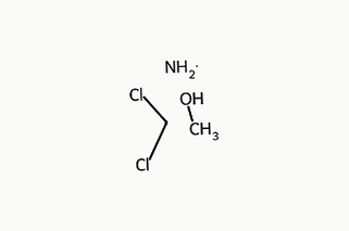 CO.ClCCl.[NH2]